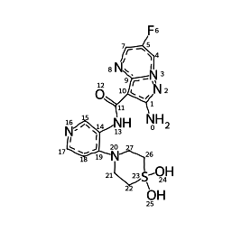 Nc1nn2cc(F)cnc2c1C(=O)Nc1cnccc1N1CCS(O)(O)CC1